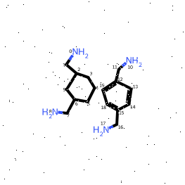 NCC1CCCC(CN)C1.NCc1ccc(CN)cc1